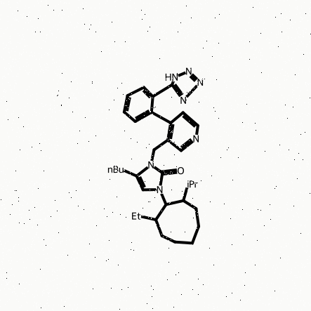 CCCCc1cn(C2C(CC)CCCCCC2C(C)C)c(=O)n1Cc1cnccc1-c1ccccc1-c1nnn[nH]1